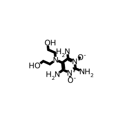 Nc1c(N(CCO)CCO)c(N)[n+]([O-])c(N)[n+]1[O-]